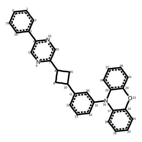 c1ccc(-c2cnc(C3CC(c4cccc(N5c6ccccc6Oc6ccccc65)c4)C3)cn2)cc1